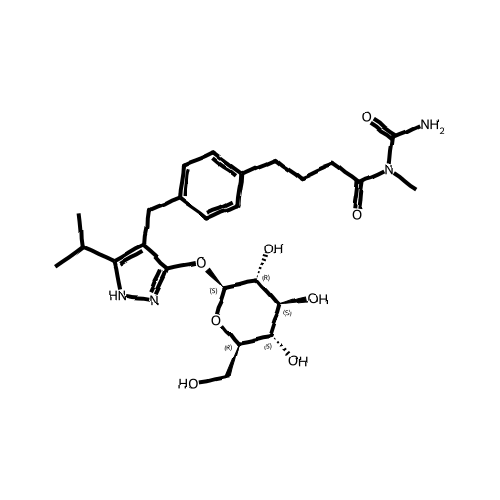 CC(C)c1[nH]nc(O[C@@H]2O[C@H](CO)[C@@H](O)[C@H](O)[C@H]2O)c1Cc1ccc(CCCC(=O)N(C)C(N)=O)cc1